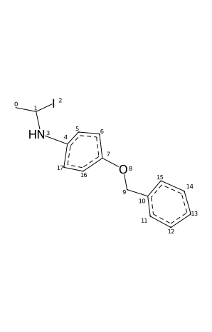 CC(I)Nc1ccc(OCc2ccccc2)cc1